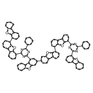 c1ccc(-c2nc(-c3cccc4c3oc3c(-c5cccc6c5oc5cc(-c7cc(-c8nc(-c9ccccc9)nc(-c9cccc%10c9oc9c(-c%11cccc%12c%11oc%11ccccc%11%12)cccc9%10)n8)c8c(c7)oc7ccccc78)ccc56)cccc34)nc(-c3cccc4c3sc3ccccc34)n2)cc1